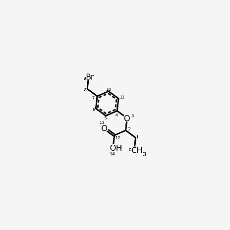 CCC(Oc1ccc(CBr)cc1)C(=O)O